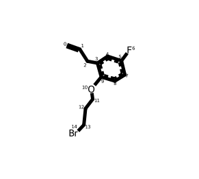 C=CCc1cc(F)ccc1OCCCBr